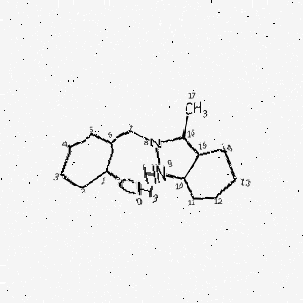 CC1CCCCC1CN1NC2CCCCC2C1C